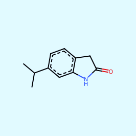 CC(C)c1ccc2c(c1)NC(=O)C2